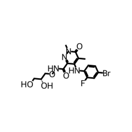 Cc1c(Nc2ccc(Br)cc2F)c(C(=O)NOC[C@H](O)CO)nn(C)c1=O